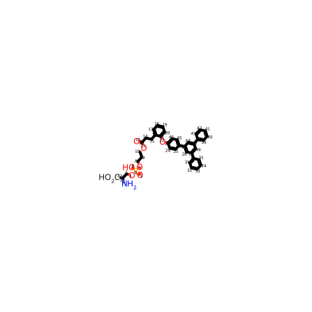 NC(COP(=O)(O)OCCCOC(=O)CCc1ccccc1Oc1ccc(-c2cc(-c3ccccc3)cc(-c3ccccc3)c2)cc1)C(=O)O